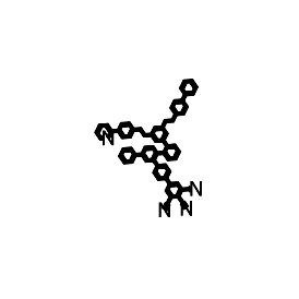 N#Cc1cc(-c2ccc(-c3cc(-c4ccccc4)ccc3-c3ccccc3-c3cc(CCc4ccc(-c5ccccc5)cc4)cc(CCc4ccc(-c5ccccn5)cc4)c3)cc2)cc(C#N)c1C#N